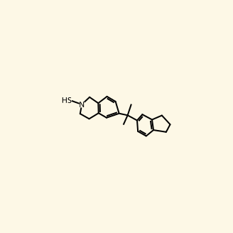 CC(C)(c1ccc2c(c1)CCC2)c1ccc2c(c1)CCN(S)C2